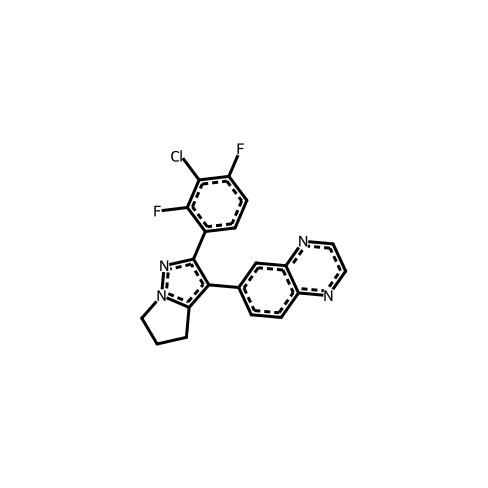 Fc1ccc(-c2nn3c(c2-c2ccc4nccnc4c2)CCC3)c(F)c1Cl